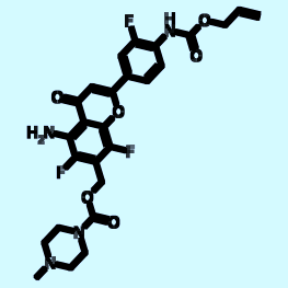 C=CCOC(=O)Nc1ccc(-c2cc(=O)c3c(N)c(F)c(COC(=O)N4CCN(C)CC4)c(F)c3o2)cc1F